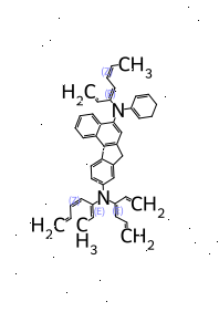 C=C/C=C\C(=C/C)N(/C(C=C)=C/C=C)c1ccc2c(c1)Cc1cc(N(C3=CCCC=C3)/C(C=C)=C/C=C\C)c3ccccc3c1-2